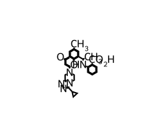 Cc1cc(C(C)Nc2ccccc2C(=O)O)c2oc(N3CCn4c(nnc4C4CC4)C3)cc(=O)c2c1